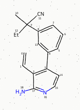 C=Cc1c(-c2cccc(C(C)(C#N)CC)c2)ccnc1N